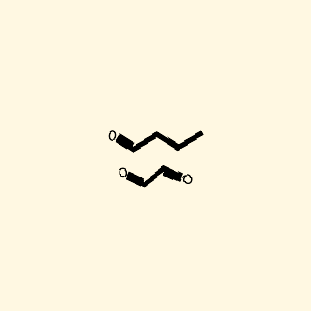 CCCC=O.O=CC=O